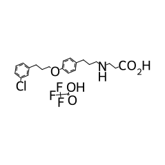 O=C(O)C(F)(F)F.O=C(O)CCNCCCc1ccc(OCCCc2cccc(Cl)c2)cc1